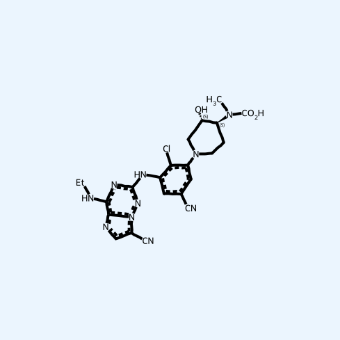 CCNc1nc(Nc2cc(C#N)cc(N3CC[C@H](N(C)C(=O)O)[C@@H](O)C3)c2Cl)nn2c(C#N)cnc12